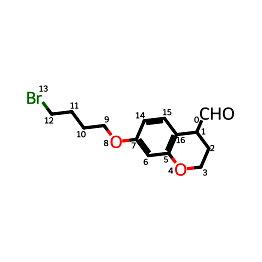 O=CC1CCOc2cc(OCCCCBr)ccc21